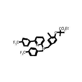 CCOC(=O)C(C)(C)Oc1ccc(CN(Cc2ccc(C(F)(F)F)cc2)c2cccc(-c3ccc(C(F)(F)F)cc3)n2)cc1C